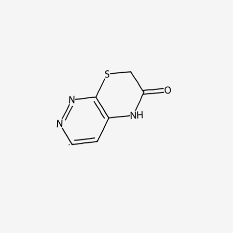 O=C1CSc2nn[c]cc2N1